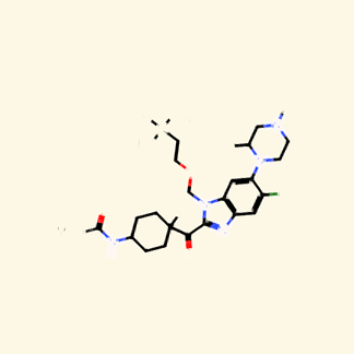 CCN1CCN(c2cc3c(cc2Cl)nc(C(=O)C2(C)CCC(NC(=O)OC)CC2)n3COCC[Si](C)(C)C)C(C)C1